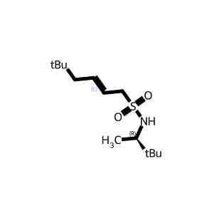 C[C@@H](NS(=O)(=O)C/C=C/CC(C)(C)C)C(C)(C)C